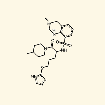 CC1CCN(C(=O)C(CCCSc2ncc[nH]2)NS(=O)(=O)c2cccc3c2NC[C@@H](C)C3)CC1